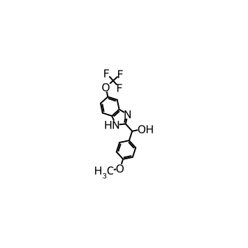 COc1ccc(C(O)c2nc3cc(OC(F)(F)F)ccc3[nH]2)cc1